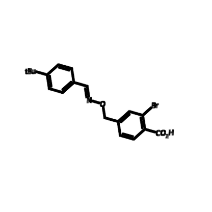 CC(C)(C)c1ccc(C=NOCc2ccc(C(=O)O)c(Br)c2)cc1